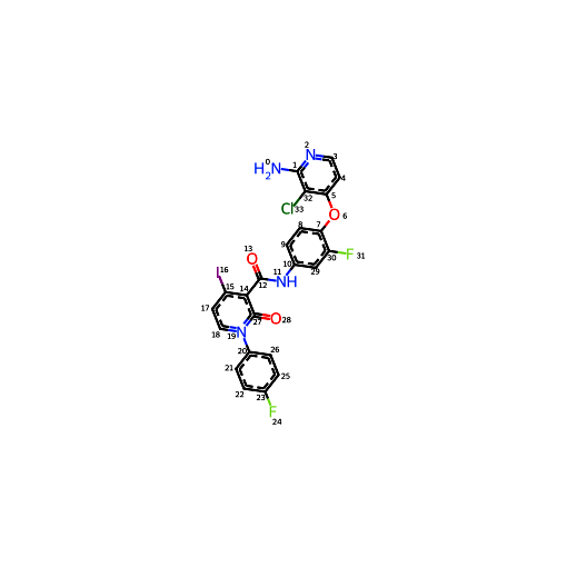 Nc1nccc(Oc2ccc(NC(=O)c3c(I)ccn(-c4ccc(F)cc4)c3=O)cc2F)c1Cl